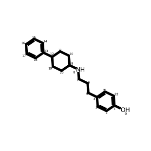 Oc1ccc(CCCNC2CCC(c3ccccc3)CC2)cc1